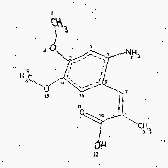 COc1cc(N)c(C=C(C)C(=O)O)cc1OC